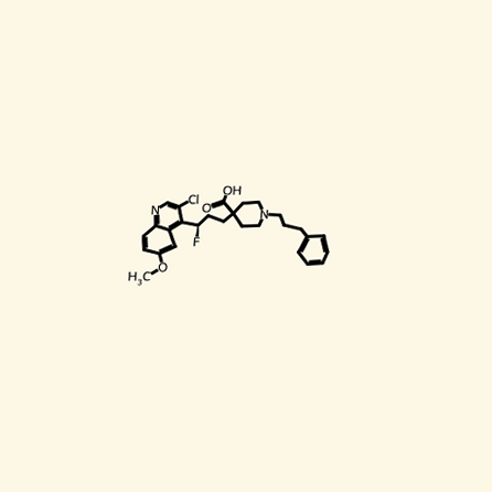 COc1ccc2ncc(Cl)c([C@H](F)CCC3(C(=O)O)CCN(CCCc4ccccc4)CC3)c2c1